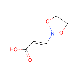 O=C(O)C=CN1OCCO1